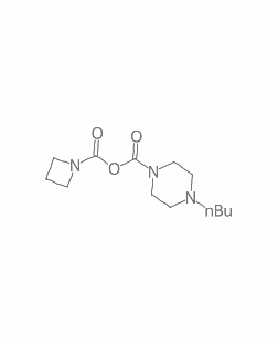 CCCCN1CCN(C(=O)OC(=O)N2CCC2)CC1